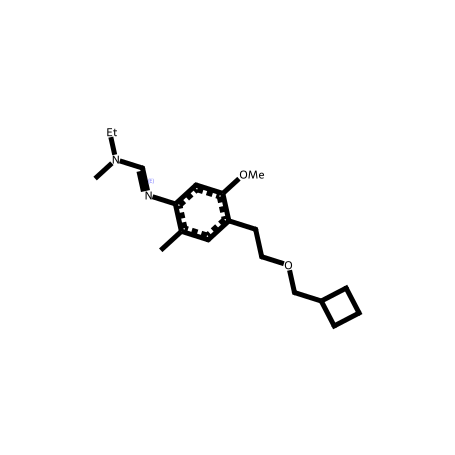 CCN(C)/C=N/c1cc(OC)c(CCOCC2CCC2)cc1C